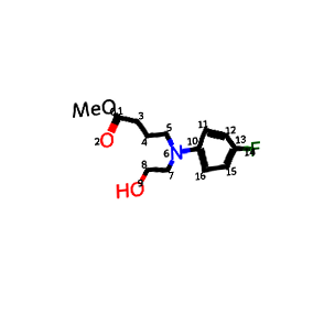 COC(=O)CCCN(CCO)c1ccc(F)cc1